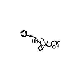 CC1=NOC(CC(=O)N2CCC[C@H]2C(=O)NCC#Cc2ccccc2)=CC1